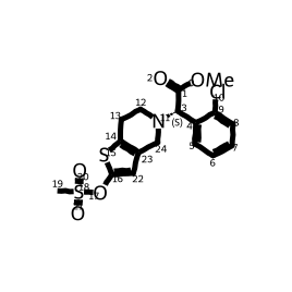 COC(=O)[C@H](c1ccccc1Cl)N1CCc2sc(OS(C)(=O)=O)cc2C1